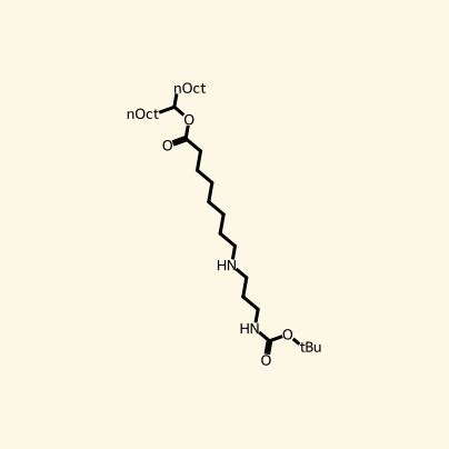 CCCCCCCCC(CCCCCCCC)OC(=O)CCCCCCCNCCCNC(=O)OC(C)(C)C